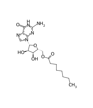 CCCCCCCC(=O)OC[C@H]1O[C@@H](n2cnc3c(=O)[nH]c(N)nc32)[C@H](O)[C@@H]1O